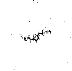 CC(C)OCCC1CCC(CCOC(C)C)O1